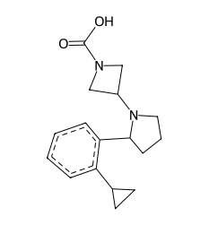 O=C(O)N1CC(N2CCCC2c2ccccc2C2CC2)C1